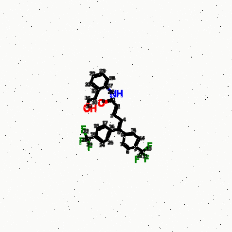 O=C(C=CC=C(c1ccc(C(F)(F)F)cc1)c1ccc(C(F)(F)F)cc1)Nc1ccccc1CCO